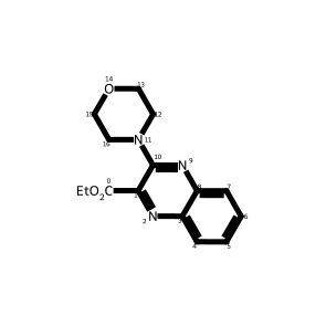 CCOC(=O)c1nc2ccccc2nc1N1CCOCC1